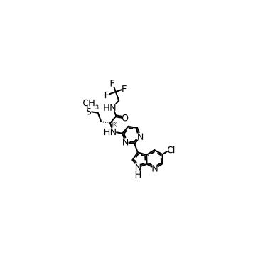 CSCC[C@@H](Nc1ccnc(-c2c[nH]c3ncc(Cl)cc23)n1)C(=O)NCC(F)(F)F